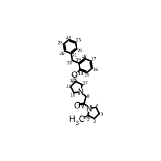 C[C@@H]1CCCN1C(=O)CN1CC[C@H](Oc2ccccc2Cc2ccccc2)C1